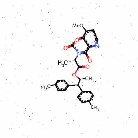 COc1ccnc2c(=O)n([C@@H](C)C(=O)O[C@@H](C)C(c3ccc(C)cc3)c3ccc(C)cc3)c(=O)oc12